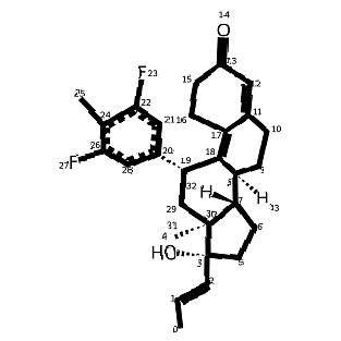 CC=C[C@]1(O)CC[C@H]2[C@@H]3CCC4=CC(=O)CCC4=C3[C@@H](c3cc(F)c(C)c(F)c3)C[C@@]21C